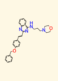 C(=Cc1nc(NCCCN2CCOCC2)c2ccccc2n1)c1ccc(OCc2ccccc2)cc1